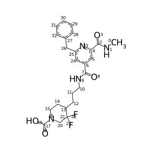 CNC(=O)c1cc(C(=O)NCCCC2CCN(C(=O)O)CC2(F)F)cc(Cc2ccccc2)n1